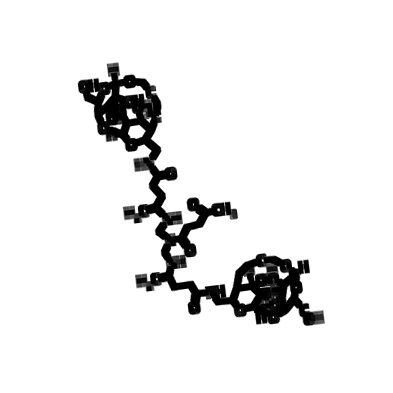 C=C(CCC(=O)NCC1O[C@@H]2OC3C(CO)O[C@H](OCCCCC1[C@H](O)C2O)C(O)[C@H]3O)NCN(CNC(=C)CCC(=O)NCC1O[C@@H]2OC3C(CO)O[C@H](OCCCCC1[C@H](O)C2O)C(O)[C@H]3O)C(=O)CCC(C)=O